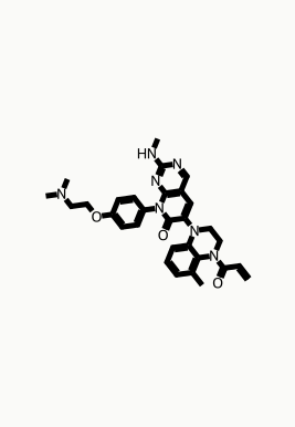 C=CC(=O)N1CCN(c2cc3cnc(NC)nc3n(-c3ccc(OCCN(C)C)cc3)c2=O)c2cccc(C)c21